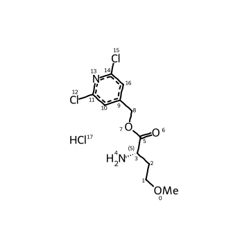 COCC[C@H](N)C(=O)OCc1cc(Cl)nc(Cl)c1.Cl